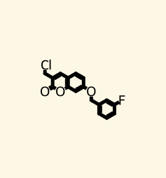 O=c1oc2cc(OCc3cccc(F)c3)ccc2cc1CCl